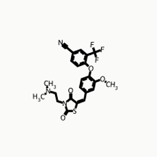 COc1cc(C=C2SC(=O)N(CCN(C)C)C2=O)ccc1Oc1ccc(C#N)cc1C(F)(F)F